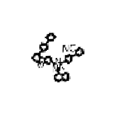 N#Cc1ccccc1-c1ccc(-c2nc(-c3ccc4c(c3)oc3cccc(-c5ccc(-c6ccccc6)cc5)c34)nc(-c3cccc4ccccc34)n2)cc1